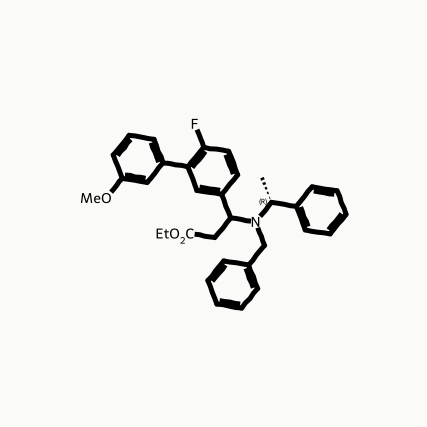 CCOC(=O)CC(c1ccc(F)c(-c2cccc(OC)c2)c1)N(Cc1ccccc1)[C@H](C)c1ccccc1